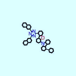 c1ccc(-c2cccc3c2c2ccccc2n3-c2cccc3c2oc2cccc(-c4nc(-c5ccc6ccccc6c5)nc(-c5ccc6ccccc6c5)n4)c23)cc1